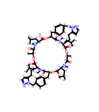 CCCc1ccnn1Cc1ccc(CC2OC(=O)C(CC(C)C)N(C)C(=O)C(C)OC(=O)C(CC(C)C)N(C)C(=O)C(Cc3ccc(Cn4nccc4CCC)cc3)OC(=O)C(CC(C)C)N(C)C(=O)C(C)OC(=O)C(CC(C)C)N(C)C2=O)cc1